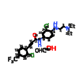 CCN(CC)CCNc1ccc(NC(=O)C#Cc2ccc(C(F)(F)F)cc2Cl)cc1Cl.O=CO